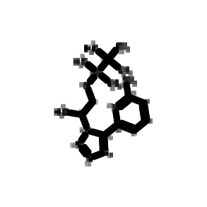 CC(CO[Si](C)(C)C(C)(C)C)n1nnnc1-c1cccc(N)n1